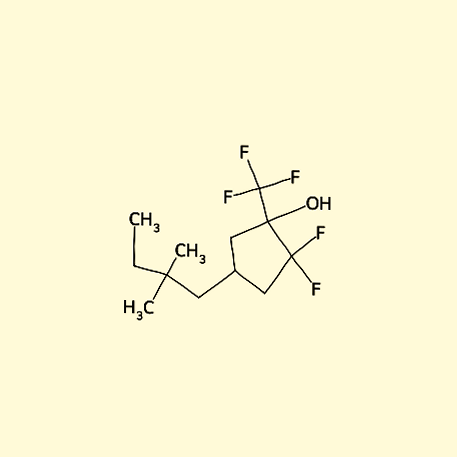 CCC(C)(C)CC1CC(F)(F)C(O)(C(F)(F)F)C1